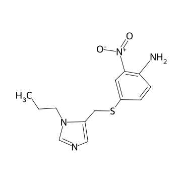 CCCn1cncc1CSc1ccc(N)c([N+](=O)[O-])c1